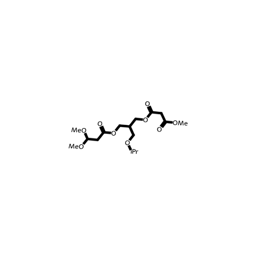 COC(=O)CC(=O)OCC(COC(=O)CC(OC)OC)COC(C)C